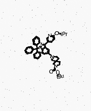 CC(C)Oc1ccc(-c2nn(C(c3ccccc3)(c3ccccc3)c3ccccc3)c3ccc(N4CCC5(CCN(C(=O)OC(C)(C)C)C5)C4)cc23)cn1